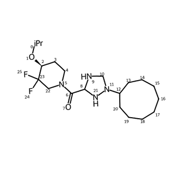 CC(C)O[C@H]1CCN(C(=O)C2NCN(C3CCCCCCCC3)N2)CC1(F)F